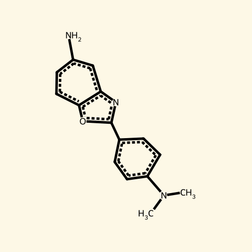 CN(C)c1ccc(-c2nc3cc(N)ccc3o2)cc1